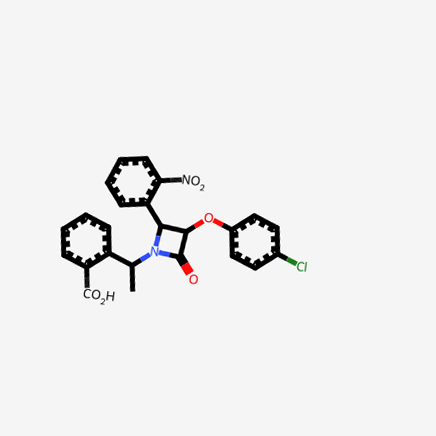 CC(c1ccccc1C(=O)O)N1C(=O)C(Oc2ccc(Cl)cc2)C1c1ccccc1[N+](=O)[O-]